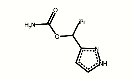 CC(C)C(OC(N)=O)c1cc[nH]n1